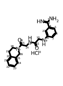 Cl.N=C(N)c1cccc(NCC(=O)NCC(=O)N2CCc3ccccc3C2)c1